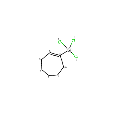 Cl[Si](Cl)(Cl)C1=CCCCCC1